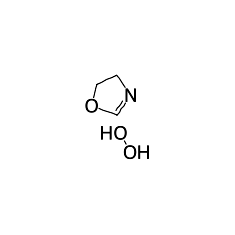 C1=NCCO1.OO